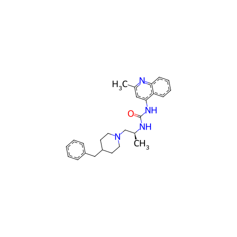 Cc1cc(NC(=O)N[C@@H](C)CN2CCC(Cc3ccccc3)CC2)c2ccccc2n1